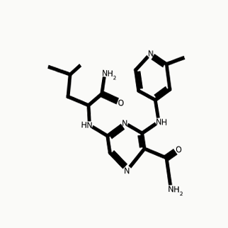 Cc1cc(Nc2nc(NC(CC(C)C)C(N)=O)cnc2C(N)=O)ccn1